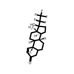 C[C@]12C=CC(=O)CC1CC[C@@H]1[C@H]2CC[C@@]2(C)[C@H]1CCC2(O)C(F)(F)C(F)(F)F